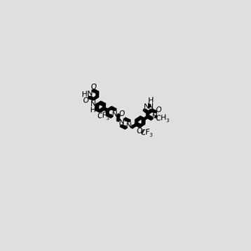 Cn1cc(-c2ccc(CN3CCN(CC(=O)N4CCC(c5ccc(NC6CCC(=O)NC6=O)cc5C(F)(F)F)CC4)CC3)c(OC(F)(F)F)c2)c2cn[nH]c2c1=O